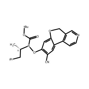 CC(C)C[C@H](C)N(Oc1cc2c(cc1C#N)-c1ccncc1CO2)C(=O)OC(C)(C)C